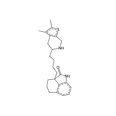 Cc1sc2c(c1C)CC(CCCCC13CCCc4cccc(c41)NC3=O)NC2